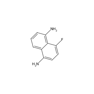 Nc1ccc(F)c2c(N)cccc12